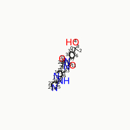 CC(C)(CO)c1ccc(N2C(=O)N(Cc3ccnc(Nc4cccnc4)c3)C(C)(C)C2=O)cc1